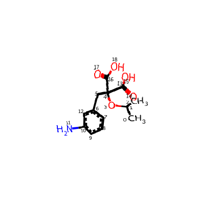 CC(C)OC(Cc1cccc(N)c1)(C(=O)O)C(=O)O